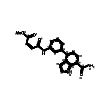 COC(=O)/C=C\C(=O)Nc1cccc(-c2ccc(C(N)=O)c3[nH]ccc23)c1